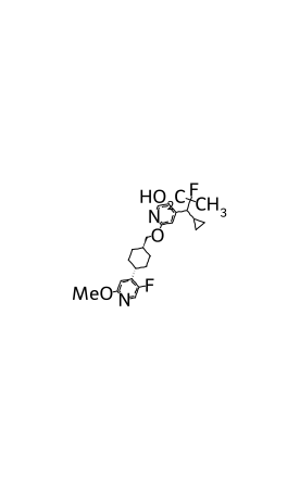 COc1cc([C@H]2CC[C@H](COc3cc(C(C4CC4)C(C)(F)C(=O)O)ccn3)CC2)c(F)cn1